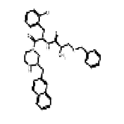 NC(COCc1ccccc1)C(=O)N[C@H](Cc1ccccc1Cl)C(=O)N1CCNC(Cc2ccc3ccccc3c2)C1